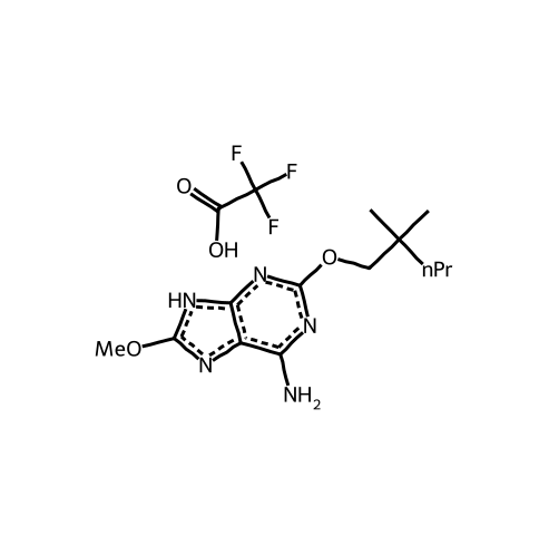 CCCC(C)(C)COc1nc(N)c2nc(OC)[nH]c2n1.O=C(O)C(F)(F)F